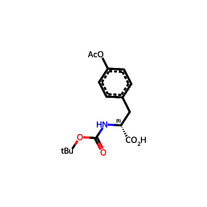 CC(=O)Oc1ccc(C[C@@H](NC(=O)OC(C)(C)C)C(=O)O)cc1